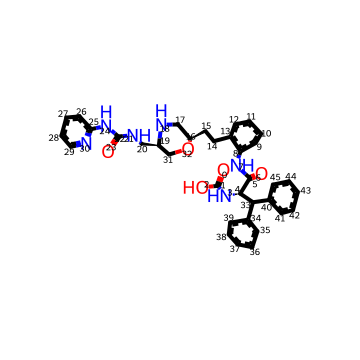 O=C(O)N[C@H](C(=O)Nc1ccccc1CC[C@@H]1CN[C@H](CNC(=O)Nc2ccccn2)CO1)C(c1ccccc1)c1ccccc1